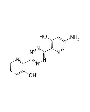 Nc1cnc(-c2nnc(-c3ncccc3O)nn2)c(O)c1